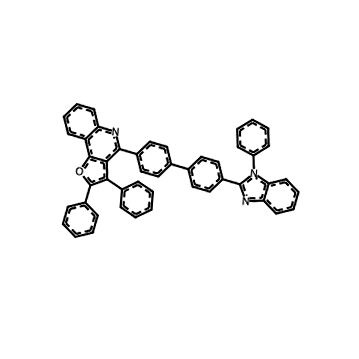 c1ccc(-c2oc3c(c(-c4ccc(-c5ccc(-c6nc7ccccc7n6-c6ccccc6)cc5)cc4)nc4ccccc43)c2-c2ccccc2)cc1